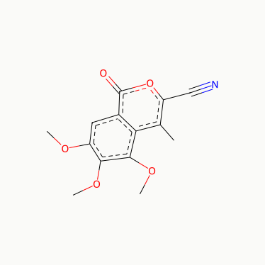 COc1cc2c(=O)oc(C#N)c(C)c2c(OC)c1OC